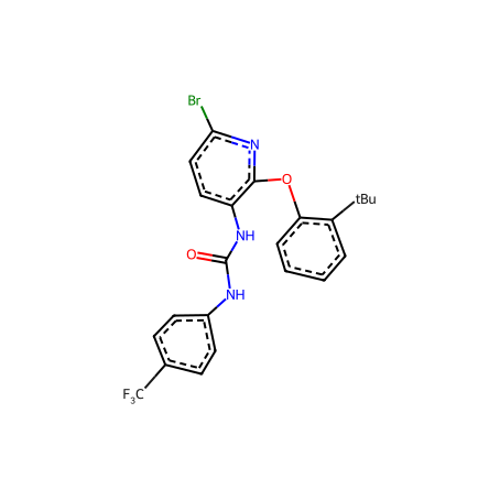 CC(C)(C)c1ccccc1Oc1nc(Br)ccc1NC(=O)Nc1ccc(C(F)(F)F)cc1